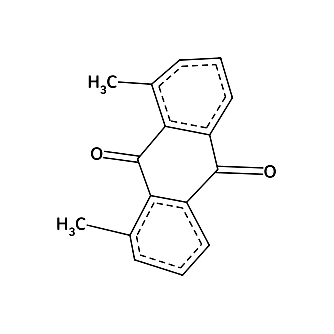 Cc1cccc2c1C(=O)c1c(C)cccc1C2=O